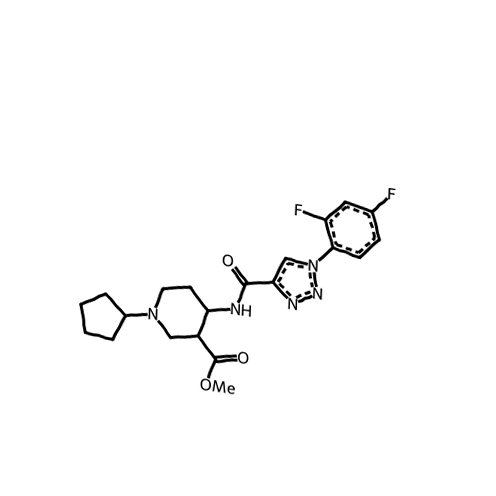 COC(=O)C1CN(C2CCCC2)CCC1NC(=O)c1cn(-c2ccc(F)cc2F)nn1